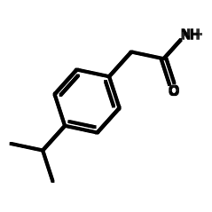 CC(C)c1ccc(CC([NH])=O)cc1